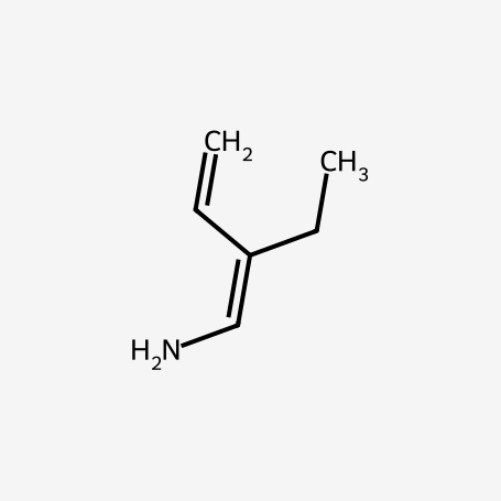 C=C/C(=C\N)CC